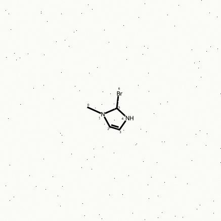 CN1[C]=CNC1Br